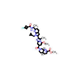 COC(=O)C1CC[C@@H]2CCN(C(=O)c3cc(OC)n4c(C)c(-c5cc6ccc([C@@H](C)NC(=O)C78CC(F)(C7)C8)nc6n5CC5CC5)nc4c3)C[C@@H]2N1